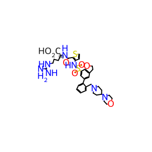 N=C(N)NCCC[C@H](NC(=O)c1sccc1NS(=O)(=O)c1cc(-c2ccccc2CN2CCC(N3CCOCC3)CC2)cc2c1OCC2)C(=O)O